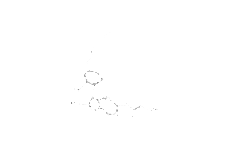 CCc1cc(CCCCSC)ccc1-c1c(C)sc2cnc(N/C(C)=C/NC)nc12